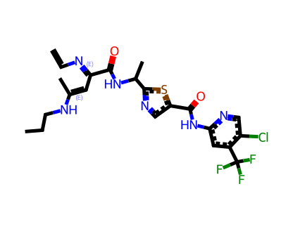 C=C/N=C(\C=C(/C)NCCC)C(=O)NC(C)c1ncc(C(=O)Nc2cc(C(F)(F)F)c(Cl)cn2)s1